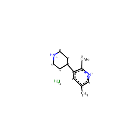 COc1ncc(C)cc1C1CCNCC1.Cl